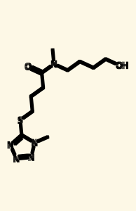 CN(CCCCO)C(=O)CCCSc1nnnn1C